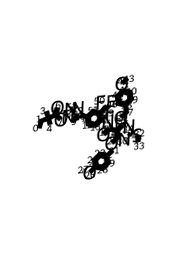 CCC(C)(C)C(=O)On1cc(-c2ccc(NC(=O)c3c(OCc4ccc(OC)cc4)nc(SC)nc3OCc3ccc(OC)cc3)c(C(F)(F)F)c2)nn1